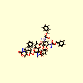 CC1C[C@@H]2OC(O[C@H]3OC4COC(=O)N[C@H]4[C@H](Cc4ccccc4)C3C)C3C(OC(=O)N3C)C2O[C@@H]1O[C@@H]1C(NC(=O)OCc2ccccc2)C[C@@H](NC(=O)OCc2ccccc2)C2OC3(CCCCC3)O[C@H]21